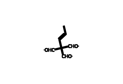 C/C=C/C([C]=O)([C]=O)[C]=O